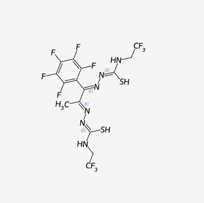 CC(=N\N=C(/S)NCC(F)(F)F)/C(=N/N=C(\S)NCC(F)(F)F)c1c(F)c(F)c(F)c(F)c1F